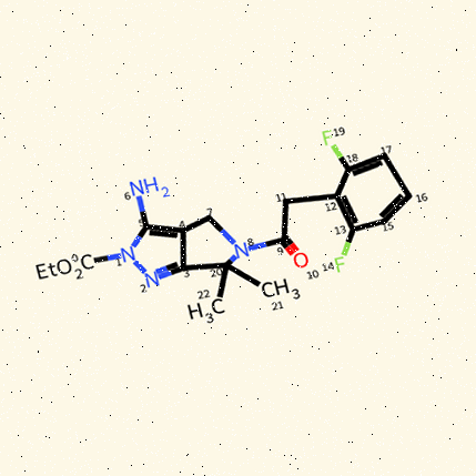 CCOC(=O)n1nc2c(c1N)CN(C(=O)Cc1c(F)cccc1F)C2(C)C